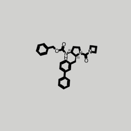 O=C(N[C@H]1CCN(C(=O)N2CCC2)[C@H]1Cc1cccc(-c2ccccc2)c1)OCc1ccccc1